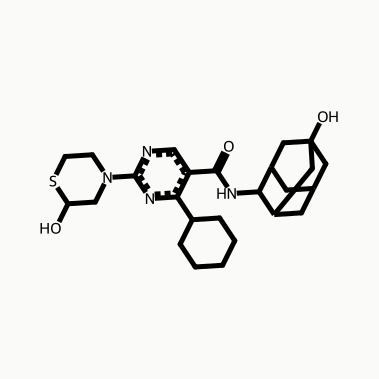 O=C(NC1C2CC3CC1CC(O)(C3)C2)c1cnc(N2CCSC(O)C2)nc1C1CCCCC1